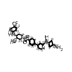 N[C@H]1C[C@H](Nc2cc(-c3ccc(S(=O)(=O)N4CC[C@@H](Nc5ccc(C(F)(F)F)cn5)[C@@H](O)C4)cc3)ccn2)C1